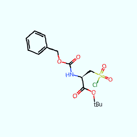 CC(C)(C)OC(=O)[C@H](CS(=O)(=O)Cl)NC(=O)OCc1ccccc1